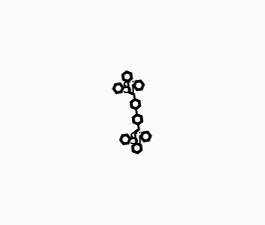 C(=C[Si](c1ccccc1)(c1ccccc1)c1ccccc1)c1ccc(-c2ccc(C=C[Si](c3ccccc3)(c3ccccc3)c3ccccc3)cc2)cc1